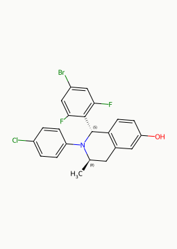 C[C@@H]1Cc2cc(O)ccc2[C@@H](c2c(F)cc(Br)cc2F)N1c1ccc(Cl)cc1